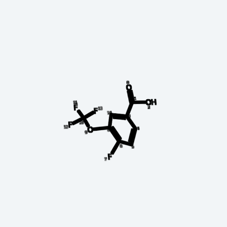 O=C(O)c1ccc(F)c(OC(F)(F)F)c1